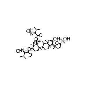 CC(C)[C@@H](NCl)C(=O)O[C@H]1CC2C3(CC[C@]4(C)[C@@H]([C@@]5(C)CC[C@@H](C(C)(C)O)O5)[C@@H](O)C[C@@]24C)C[C@@]32CC[C@H](OC(=O)[C@H](NCl)C(C)C)C(C)(C)[C@H]12